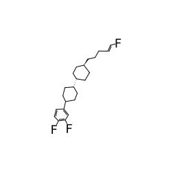 F/C=C/CCC[C@H]1CC[C@H](C2CCC(c3ccc(F)c(F)c3)CC2)CC1